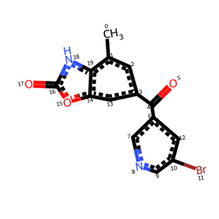 Cc1cc(C(=O)c2cncc(Br)c2)cc2oc(=O)[nH]c12